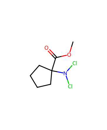 COC(=O)C1(N(Cl)Cl)CCCC1